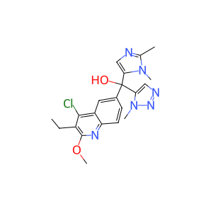 CCc1c(OC)nc2ccc(C(O)(c3cnnn3C)c3cnc(C)n3C)cc2c1Cl